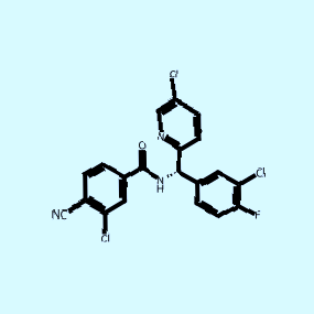 N#Cc1ccc(C(=O)N[C@@H](c2ccc(F)c(Cl)c2)c2ccc(Cl)cn2)cc1Cl